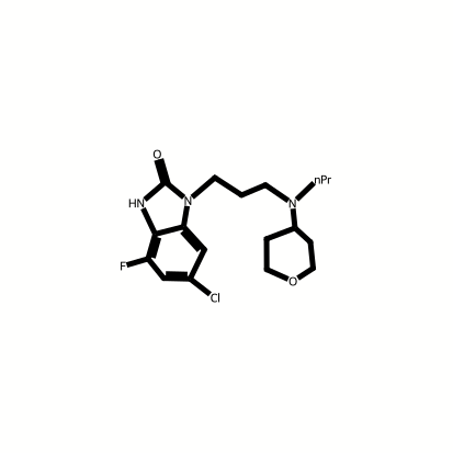 CCCN(CCCn1c(=O)[nH]c2c(F)cc(Cl)cc21)C1CCOCC1